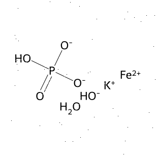 O.O=P([O-])([O-])O.[Fe+2].[K+].[OH-]